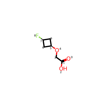 O=C(O)CO[C@H]1C[C@@H](F)C1